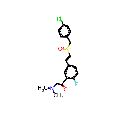 CN(C)CC(=O)c1cc(C=C[S+]([O-])Cc2ccc(Cl)cc2)ccc1F